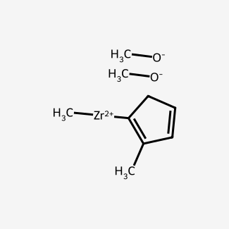 C[O-].C[O-].[CH3][Zr+2][C]1=C(C)C=CC1